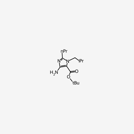 CCCc1nc(N)c(C(=O)OC(C)(C)C)n1CC(C)C